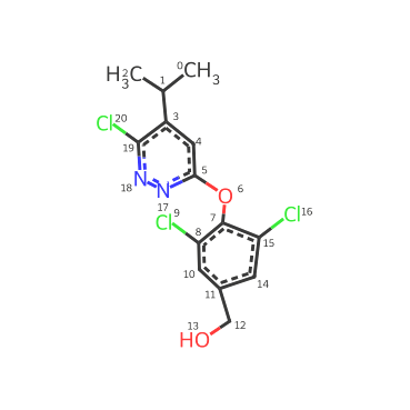 CC(C)c1cc(Oc2c(Cl)cc(CO)cc2Cl)nnc1Cl